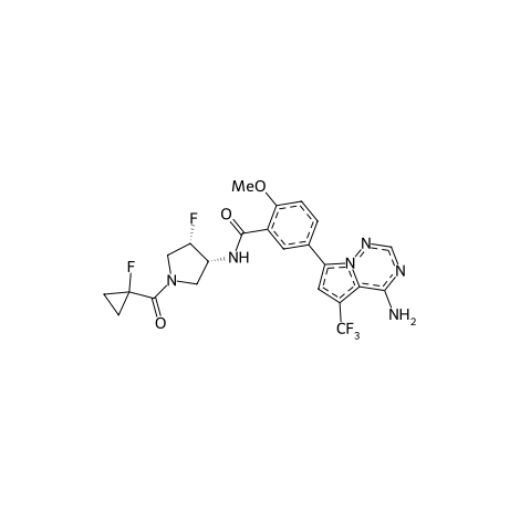 COc1ccc(-c2cc(C(F)(F)F)c3c(N)ncnn23)cc1C(=O)N[C@@H]1CN(C(=O)C2(F)CC2)C[C@@H]1F